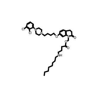 CCCCCCCCNCCCC(=O)OCN1C(=O)CCc2ccc(OCCCCN3CCN(c4cccc(Cl)c4Cl)CC3)cc21